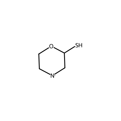 SC1C[N]CCO1